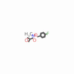 CN(OCc1ccc(F)cc1)C(=O)C1COC1